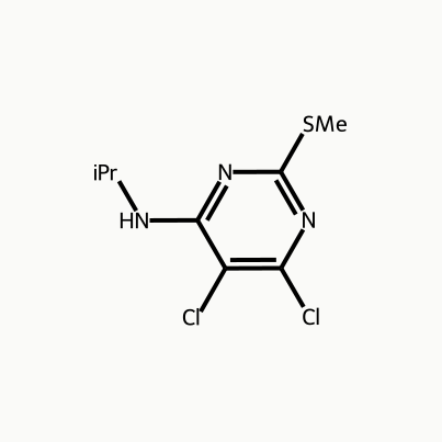 CSc1nc(Cl)c(Cl)c(NC(C)C)n1